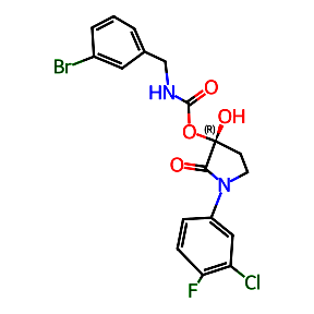 O=C(NCc1cccc(Br)c1)O[C@]1(O)CCN(c2ccc(F)c(Cl)c2)C1=O